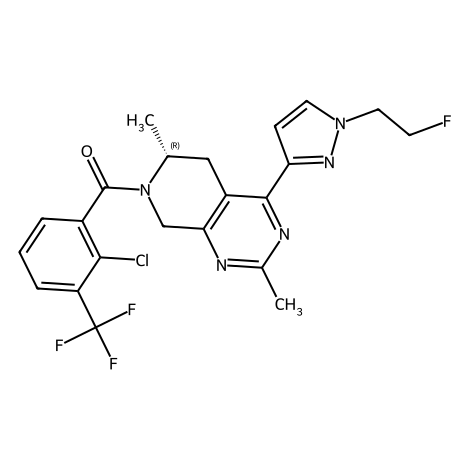 Cc1nc2c(c(-c3ccn(CCF)n3)n1)C[C@@H](C)N(C(=O)c1cccc(C(F)(F)F)c1Cl)C2